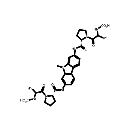 CC(C)C(NC(=O)O)C(=O)N1CCC[C@H]1C(=O)Nc1ccc2c3ccc(NC(=O)[C@@H]4CCCN4C(=O)C(NC(=O)O)C(C)C)cc3n(C)c2c1